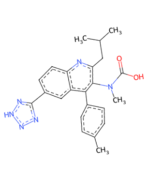 Cc1ccc(-c2c(N(C)C(=O)O)c(CC(C)C)nc3ccc(-c4nn[nH]n4)cc23)cc1